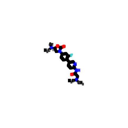 CC(=O)N(C)[C@@H]1CN(c2ccc(-c3ccc(NC(=O)CN(C)C)nc3)c(F)c2)C(=O)O1